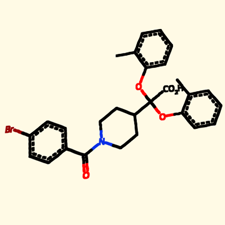 Cc1ccccc1OC(Oc1ccccc1C)(C(=O)O)C1CCN(C(=O)c2ccc(Br)cc2)CC1